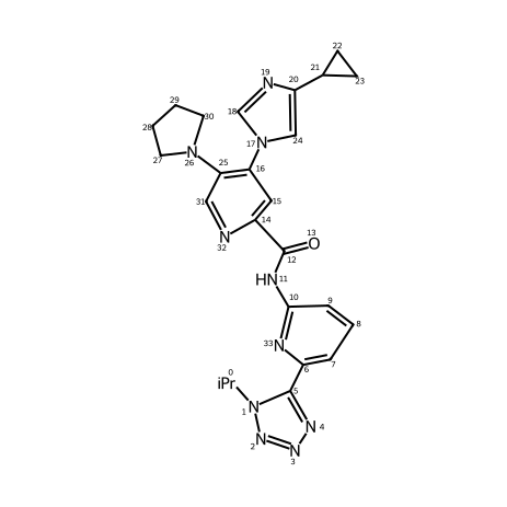 CC(C)n1nnnc1-c1cccc(NC(=O)c2cc(-n3cnc(C4CC4)c3)c(N3CCCC3)cn2)n1